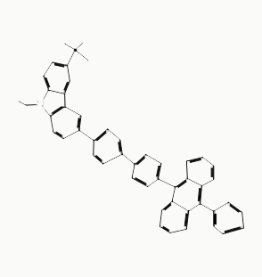 CCn1c2ccc(-c3ccc(-c4ccc(-c5c6ccccc6c(-c6ccccc6)c6ccccc56)cc4)cc3)cc2c2cc(C(C)(C)C)ccc21